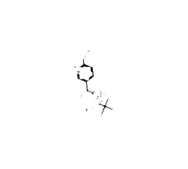 COc1ccc([C@H](C)N[S+]([O-])C(C)(C)C)cn1